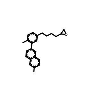 Cc1ccc(CCCCC2CO2)cc1-c1ccc2cc(F)ccc2c1